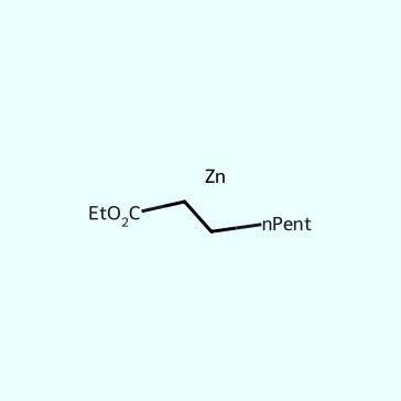 CCCCCCCC(=O)OCC.[Zn]